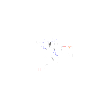 Cc1ncc(C[n+]2csc(CCO)c2C)c(N)n1.O=C(O)CC(O)C(=O)O.[Cl-]